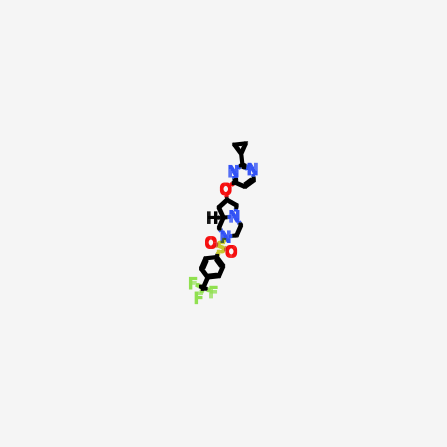 O=S(=O)(c1ccc(C(F)(F)F)cc1)N1CCN2C[C@H](Oc3ccnc(C4CC4)n3)C[C@H]2C1